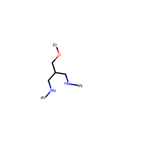 CCOCC(CNC(C)C)CNC(C)C